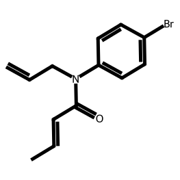 C=CCN(C(=O)C=CC)c1ccc(Br)cc1